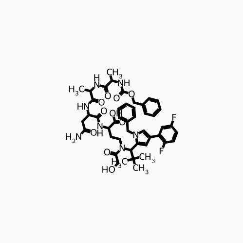 CC(NC(=O)OCc1ccccc1)C(=O)NC(C)C(=O)NC(CC(N)=O)C(=O)NC(CCN(C(=O)CO)C(c1cc(-c2cc(F)ccc2F)cn1Cc1ccccc1)C(C)(C)C)C(=O)O